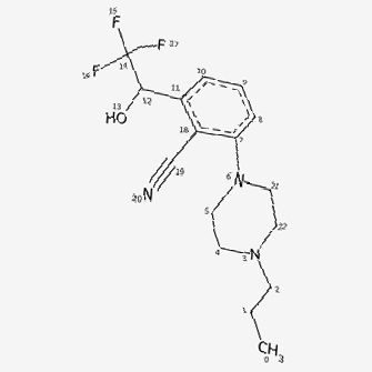 CCCN1CCN(c2cccc(C(O)C(F)(F)F)c2C#N)CC1